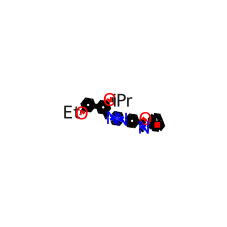 CCOc1cccc(-c2cc(CN3CCN(c4ccc(C(=O)N(C)CC56CC7CC(CC(C7)C5)C6)cc4)CC3)cc(OC(C)C)c2)c1